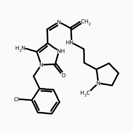 C=C(/N=C\c1[nH]c(=O)n(Cc2ccccc2Cl)c1N)NCCC1CCCN1C